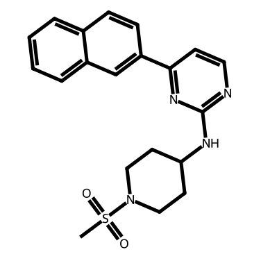 CS(=O)(=O)N1CCC(Nc2nccc(-c3ccc4ccccc4c3)n2)CC1